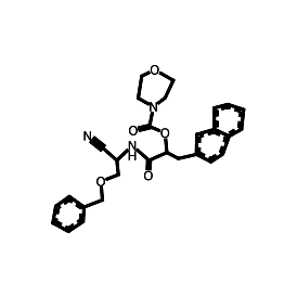 N#CC(COCc1ccccc1)NC(=O)C(Cc1ccc2ccccc2c1)OC(=O)N1CCOCC1